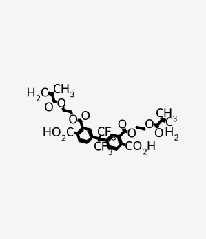 C=C(C)C(=O)OCCOC(=O)c1cc(C(c2ccc(C(=O)O)c(C(=O)OCCOC(=O)C(=C)C)c2)(C(F)(F)F)C(F)(F)F)ccc1C(=O)O